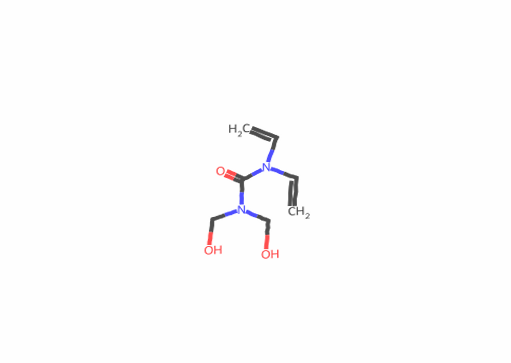 C=CN(C=C)C(=O)N(CO)CO